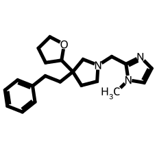 Cn1ccnc1CN1CCC(CCc2ccccc2)(C2CCCO2)C1